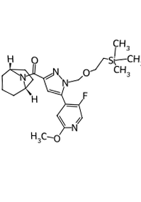 COc1cc(-c2cc(C(=O)N3[C@@H]4CCC[C@H]3CC4)nn2COCC[Si](C)(C)C)c(F)cn1